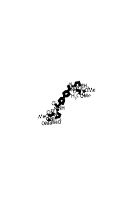 COC[C@H]1C[C@@H](c2nc(Cl)c(-c3ccc(-c4ccc(-c5cnc([C@@H]6CC[C@H](C)N6C(=O)[C@@H](NC(=O)OC)[C@@H](C)OC)[nH]5)cc4)cc3)[nH]2)N(C(=O)[C@@H](NC(=O)OC)[C@@H](C)OC)C1